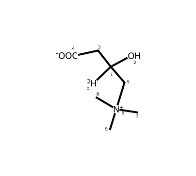 [2H]C(O)(CC(=O)[O-])C[N+](C)(C)C